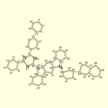 c1ccc(-c2ccc(-c3nc(-c4ccccc4)nc(-n4c5ccccc5c5cc6c(cc54)c4ccccc4n6-c4cccc(-c5ccc6ccccc6c5)c4)n3)cc2)cc1